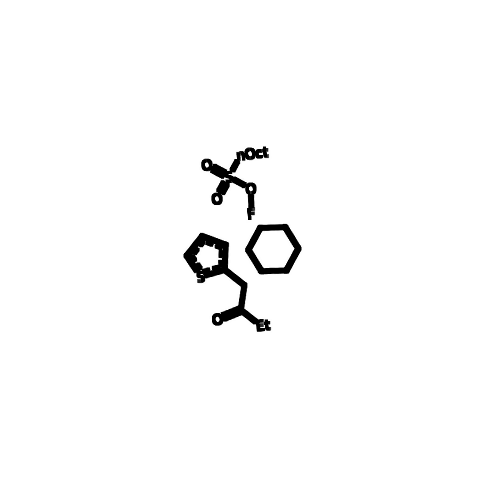 C1CCCCC1.CCC(=O)Cc1cccs1.CCCCCCCCS(=O)(=O)OF